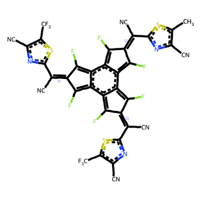 Cc1sc(/C(C#N)=C2\C(F)=c3c4c(c5c(c3=C2F)=C(F)/C(=C(/C#N)c2nc(C#N)c(C(F)(F)F)s2)C=5F)=C(F)/C(=C(/C#N)c2nc(C#N)c(C(F)(F)F)s2)C=4F)nc1C#N